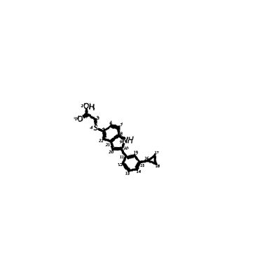 O=C(O)CSc1ccc2[nH]c(-c3cccc(C4CC4)c3)cc2c1